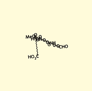 COC(=O)[C@H](CCC(=O)NCCOCCOCC(=O)NCCOCCOCC=O)NC(=O)CCCCCCCCCCCCC(=O)O